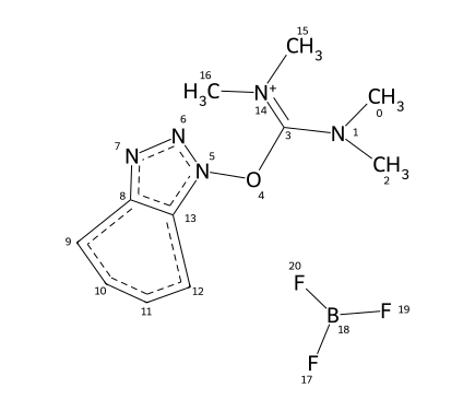 CN(C)C(On1nnc2ccccc21)=[N+](C)C.FB(F)F